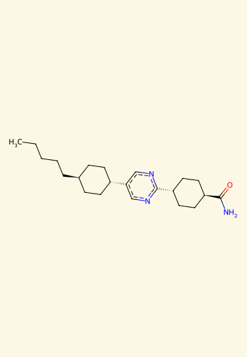 CCCCC[C@H]1CC[C@H](c2cnc([C@H]3CC[C@H](C(N)=O)CC3)nc2)CC1